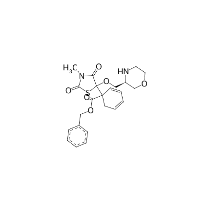 CN1C(=O)SC(OC[C@@H]2COCCN2)(C2(C(=O)OCc3ccccc3)C=CC=CC2)C1=O